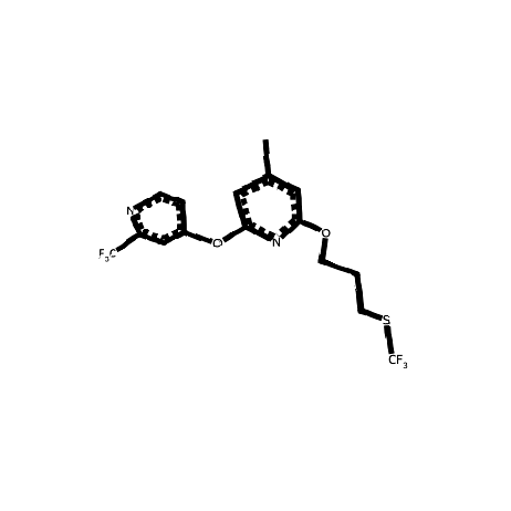 Cc1cc(OCCCSC(F)(F)F)nc(Oc2ccnc(C(F)(F)F)c2)c1